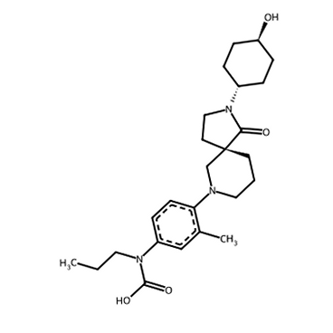 CCCN(C(=O)O)c1ccc(N2CCC[C@]3(CCN([C@H]4CC[C@H](O)CC4)C3=O)C2)c(C)c1